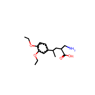 CCOc1ccc(C(C)CC(CN)C(=O)O)cc1OCC